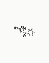 CC(C)c1nc(C(=O)c2ccccc2)no1